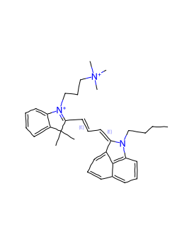 CCCCn1/c(=C/C=C/C2=[N+](CCC[N+](C)(C)C)c3ccccc3C2(C)C)c2cccc3cccc1c32